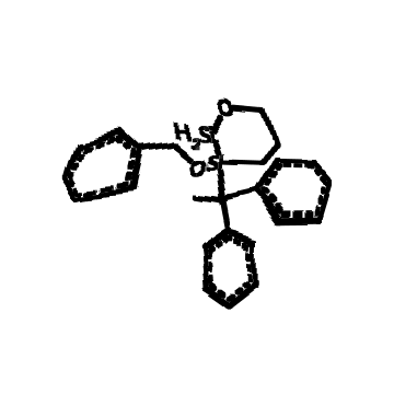 CC(c1ccccc1)(c1ccccc1)[Si]1(OCc2ccccc2)CCCO[SiH2]1